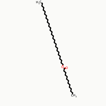 CCCCCCCCCCCCCCCCCCCCCCCCCCCCCCCCOC(=O)CCCCCCCCCCCCC